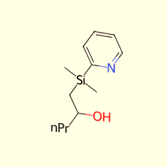 CCCC(O)C[Si](C)(C)c1ccccn1